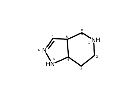 [C]1NCCC2NN=CC12